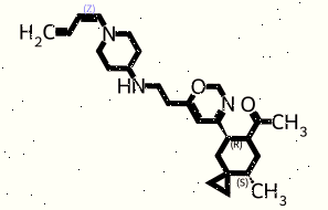 C=C/C=C\N1CCC(NCCC2=CC([C@@H]3CC4(CC4)[C@@H](C)CC3C(C)=O)=NCO2)CC1